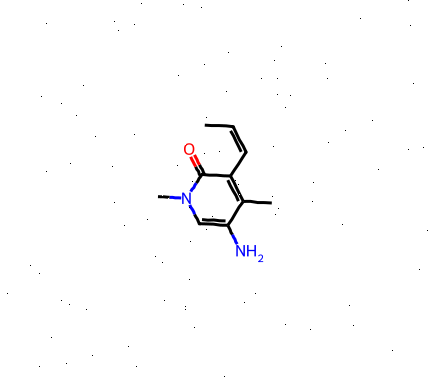 C/C=C\c1c(C)c(N)cn(C)c1=O